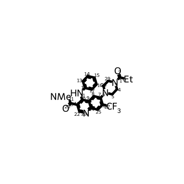 CCC(=O)N1CCN(c2cc3c(Nc4ccccc4)c(C(=O)NC)cnc3cc2C(F)(F)F)CC1